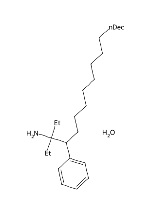 CCCCCCCCCCCCCCCCCCC(c1ccccc1)C(N)(CC)CC.O